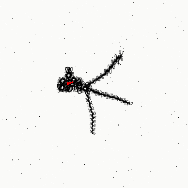 CCCCCCCCCCCCCCCCCCOc1cc(C(=O)n2c(=O)c(C)cn([C@H]3C[C@@](O)([Si](c4ccccc4)(C(C)C)C(C)C)[C@@H](C(O)C(c4ccccc4)(c4ccc(OC)cc4)c4ccc(OC)cc4)O3)c2=O)cc(OCCCCCCCCCCCCCCCCCC)c1OCCCCCCCCCCCCCCCCCC